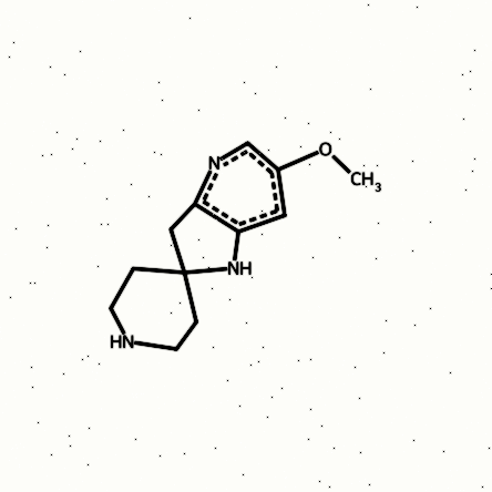 COc1cnc2c(c1)NC1(CCNCC1)C2